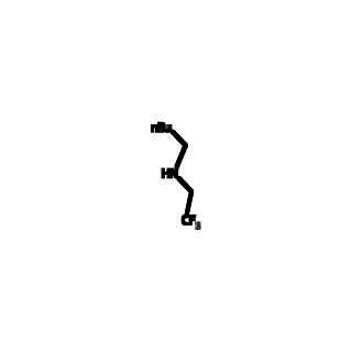 CCCCCNCC(F)(F)F